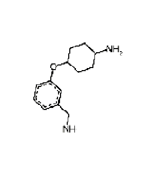 [NH]Cc1cccc(OC2CCC(N)CC2)c1